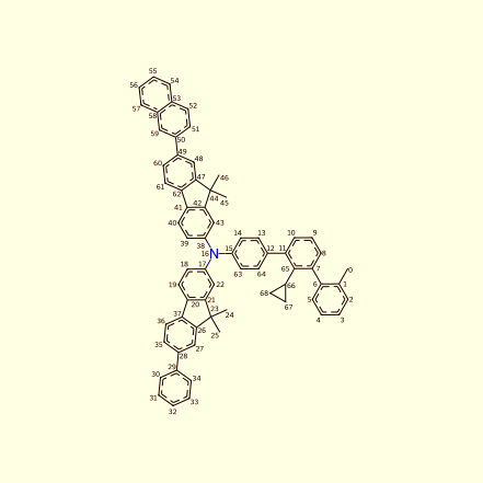 Cc1ccccc1-c1cccc(-c2ccc(N(c3ccc4c(c3)C(C)(C)c3cc(-c5ccccc5)ccc3-4)c3ccc4c(c3)C(C)(C)c3cc(-c5ccc6ccccc6c5)ccc3-4)cc2)c1C1CC1